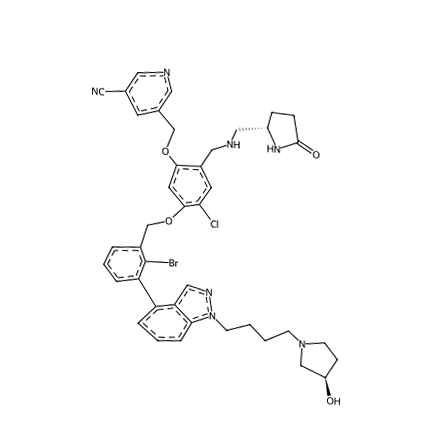 N#Cc1cncc(COc2cc(OCc3cccc(-c4cccc5c4cnn5CCCCN4CC[C@@H](O)C4)c3Br)c(Cl)cc2CNC[C@@H]2CCC(=O)N2)c1